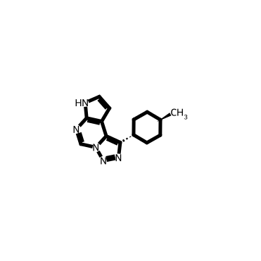 C[C@H]1CC[C@H](c2nnn3cnc4[nH]ccc4c23)CC1